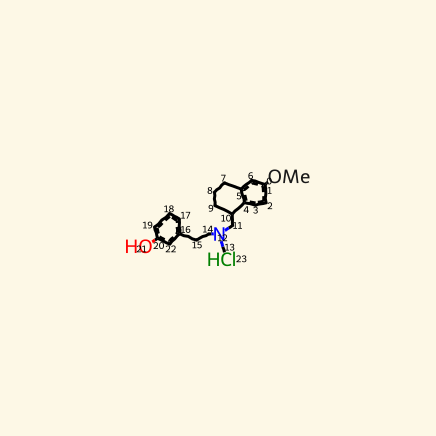 COc1ccc2c(c1)CCCC2CN(C)CCc1cccc(O)c1.Cl